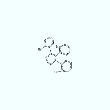 Brc1ccccc1-c1cccc(-c2ccccc2Br)c1-c1ccccc1Br